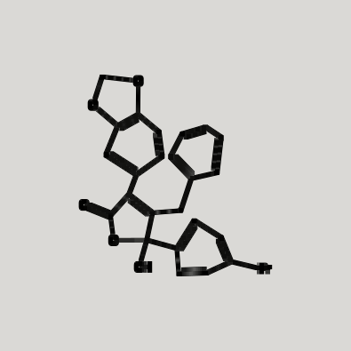 CC(C)c1ccc(C2(O)OC(=O)C(c3ccc4c(c3)OCO4)=C2Cc2ccccc2)cc1